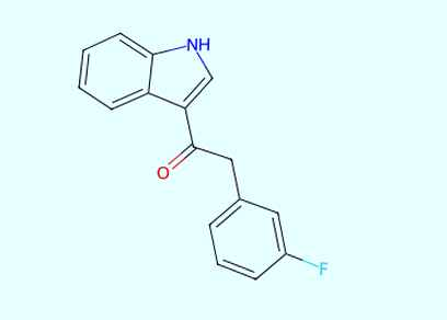 O=C(Cc1cccc(F)c1)c1c[nH]c2ccccc12